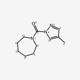 Cc1cnn(C(=O)N2CCCCCC2)c1